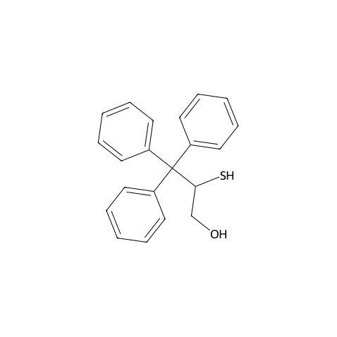 OCC(S)C(c1ccccc1)(c1ccccc1)c1ccccc1